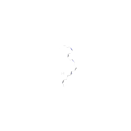 CC/C=C\C[C@H](O)/C=C/C=C\C/C=C\C/C=C\C/C=C\CCC(=O)O